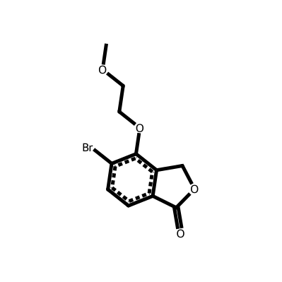 COCCOc1c(Br)ccc2c1COC2=O